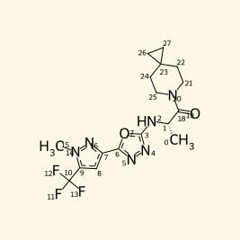 C[C@H](Nc1nnc(-c2cc(C(F)(F)F)n(C)n2)o1)C(=O)N1CCC2(CC1)CC2